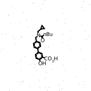 CCCCC(=O)N(Cc1ccc(-c2ccc(O)c(C(=O)O)c2)cc1)CC1CC1